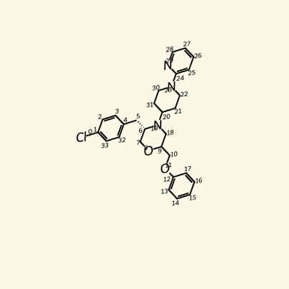 Clc1ccc(C[C@H]2COC(COc3ccccc3)CN2C2CCN(c3ccccn3)CC2)cc1